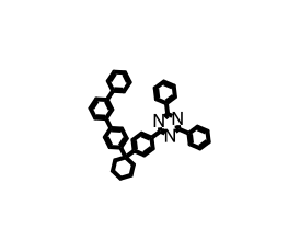 c1ccc(-c2cccc(-c3ccc(C4(c5ccc(-c6nc(-c7ccccc7)nc(-c7ccccc7)n6)cc5)CCCCC4)cc3)c2)cc1